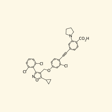 O=C(O)c1ccc(C#Cc2ccc(OCc3c(-c4c(Cl)cccc4Cl)noc3C3CC3)cc2Cl)cc1N1CCCC1